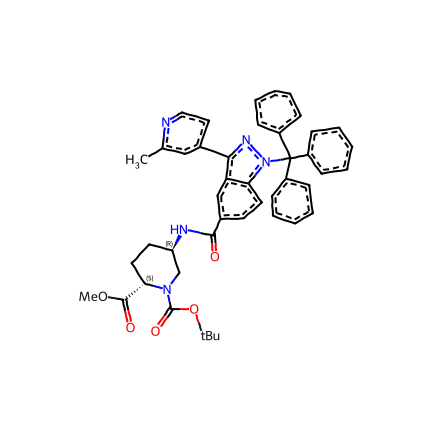 COC(=O)[C@@H]1CC[C@@H](NC(=O)c2ccc3c(c2)c(-c2ccnc(C)c2)nn3C(c2ccccc2)(c2ccccc2)c2ccccc2)CN1C(=O)OC(C)(C)C